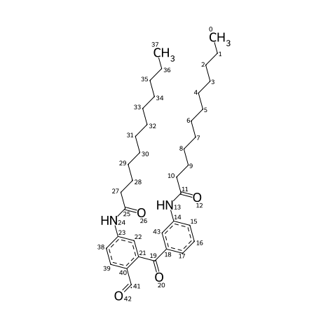 CCCCCCCCCCCC(=O)Nc1cccc(C(=O)c2cc(NC(=O)CCCCCCCCCCC)ccc2[C]=O)c1